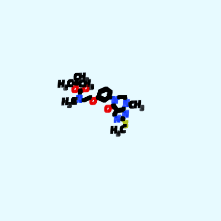 CSc1ncc2c(n1)N(C)CCN(c1cccc(OCCN(C)C(=O)OC(C)(C)C)c1)C2=O